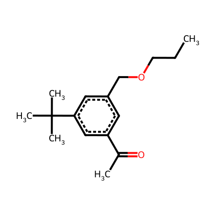 CCCOCc1cc(C(C)=O)cc(C(C)(C)C)c1